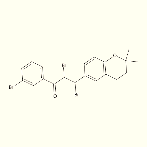 CC1(C)CCc2cc(C(Br)C(Br)C(=O)c3cccc(Br)c3)ccc2O1